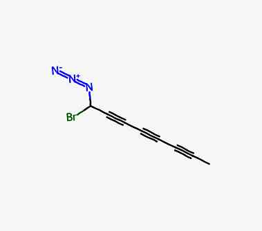 CC#CC#CC#CC(Br)N=[N+]=[N-]